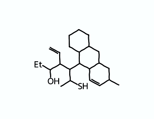 C=CC(C(O)CC)C(C(C)S)C1C2C=CC(C)CC2CC2CCCCC21